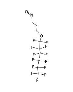 O=NCCCOC(F)(F)C(F)(F)C(F)(F)C(F)(F)C(F)(F)C(F)(F)F